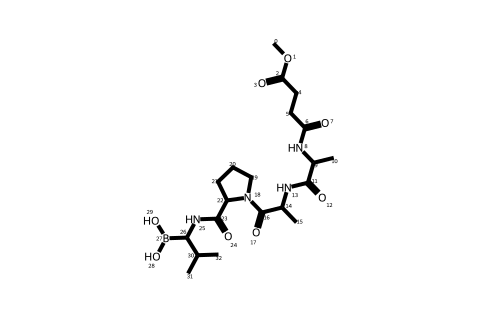 COC(=O)CCC(=O)NC(C)C(=O)NC(C)C(=O)N1CCCC1C(=O)NC(B(O)O)C(C)C